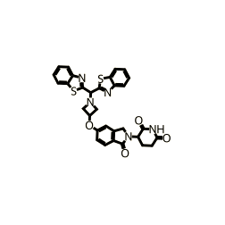 O=C1CCC(N2Cc3cc(OC4CN(C(c5nc6ccccc6s5)c5nc6ccccc6s5)C4)ccc3C2=O)C(=O)N1